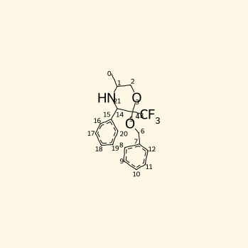 CC1COC(OCc2ccccc2)(C(F)(F)F)C(c2ccccc2)N1